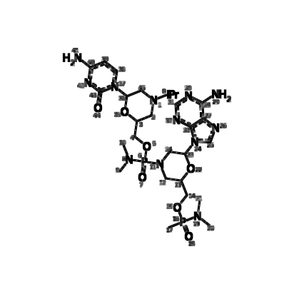 CC(C)N1CC(COP(=O)(N(C)C)N2CC(COP(C)(=O)N(C)C)OC(n3cnc4c(N)ncnc43)C2)OC(n2ccc(N)nc2=O)C1